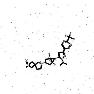 CC(C)n1nc(-c2cnc(C(F)(F)F)nc2)cc1[C@H]1[C@@H]2C[C@@H](N3CCC4(C3)CS(=O)(=O)C4)C[C@@H]21